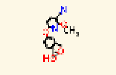 COc1nc(Oc2ccc3c(c2)COB3O)ccc1C#N